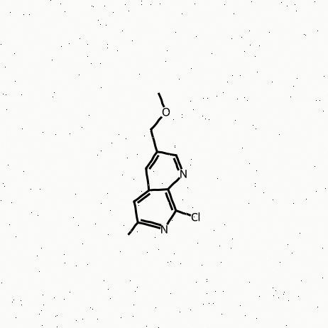 COCc1cnc2c(Cl)nc(C)cc2c1